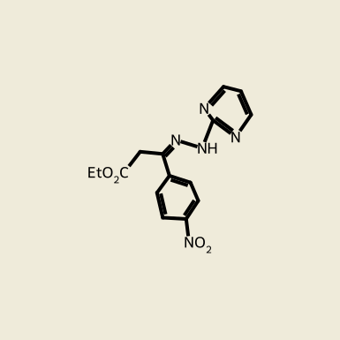 CCOC(=O)C/C(=N/Nc1ncccn1)c1ccc([N+](=O)[O-])cc1